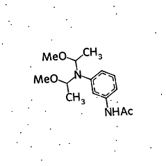 COC(C)N(c1cccc(NC(C)=O)c1)C(C)OC